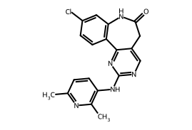 Cc1ccc(Nc2ncc3c(n2)-c2ccc(Cl)cc2NC(=O)C3)c(C)n1